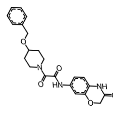 O=C1COc2cc(NC(=O)C(=O)N3CCC(OCc4ccccc4)CC3)ccc2N1